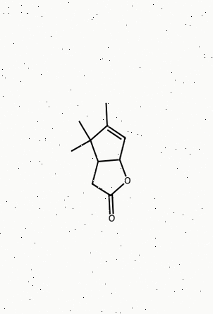 CC1=CC2OC(=O)CC2C1(C)C